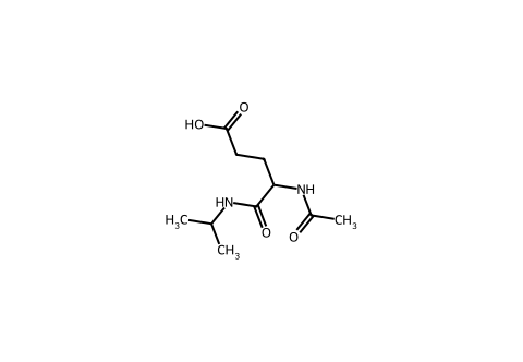 CC(=O)NC(CCC(=O)O)C(=O)NC(C)C